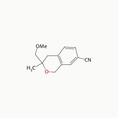 COCC1(C)Cc2ccc(C#N)cc2CO1